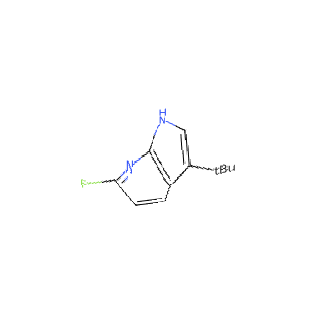 CC(C)(C)c1c[nH]c2nc(F)ccc12